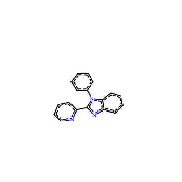 c1ccc(-n2c(-c3ccccn3)nc3ccccc32)cc1